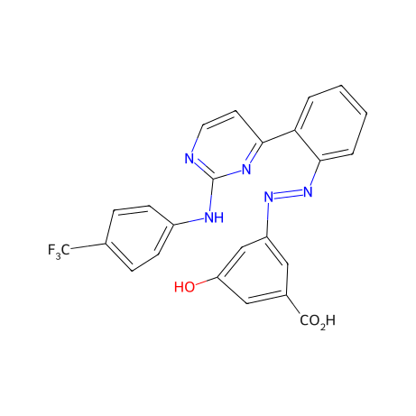 O=C(O)c1cc(O)cc(N=Nc2ccccc2-c2ccnc(Nc3ccc(C(F)(F)F)cc3)n2)c1